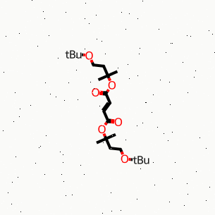 CC(C)(C)OCCC(C)(C)OC(=O)/C=C/C(=O)OC(C)(C)CCOC(C)(C)C